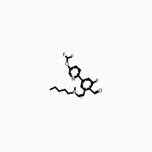 CCCCCN(C)/C=C\c1cc(-c2ccc(OC(F)F)cn2)cc(F)c1C=O